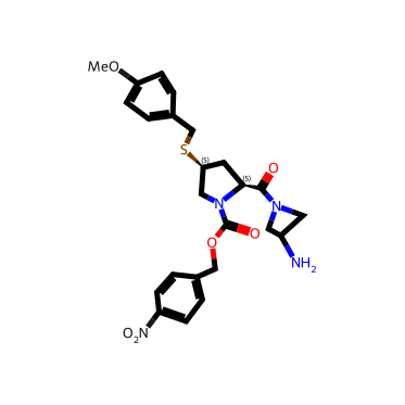 COc1ccc(CS[C@H]2C[C@@H](C(=O)N3CC(N)C3)N(C(=O)OCc3ccc([N+](=O)[O-])cc3)C2)cc1